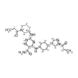 C=CC(=O)N1CCC[C@@H](Nc2nnc(C(N)=O)c(Nc3ccc(-c4cnn(C(=O)C=C)c4)cc3)n2)C1